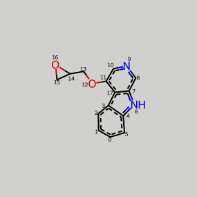 c1ccc2c(c1)[nH]c1cncc(OCC3CO3)c12